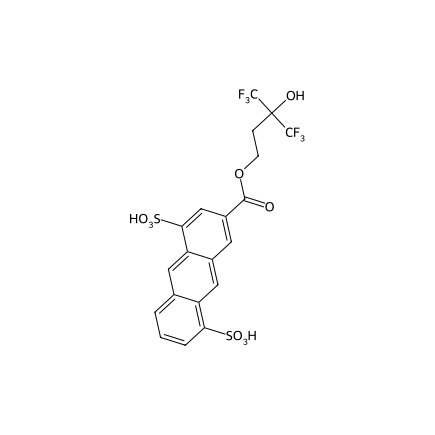 O=C(OCCC(O)(C(F)(F)F)C(F)(F)F)c1cc(S(=O)(=O)O)c2cc3cccc(S(=O)(=O)O)c3cc2c1